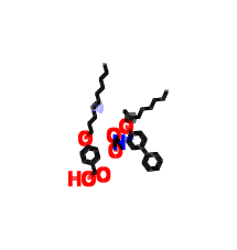 CCCCC/C=C/CCCOc1ccc(C(=O)O)cc1.CCCCCC[C@H](C)Oc1ccc(-c2ccccc2)cc1[N+](=O)[O-]